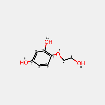 OCCOc1ccc(O)cc1O